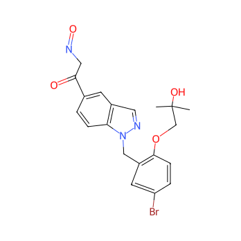 CC(C)(O)COc1ccc(Br)cc1Cn1ncc2cc(C(=O)CN=O)ccc21